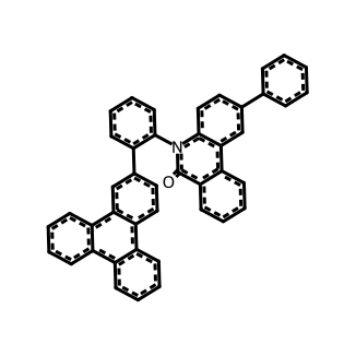 O=c1c2ccccc2c2cc(-c3ccccc3)ccc2n1-c1ccccc1-c1ccc2c3ccccc3c3ccccc3c2c1